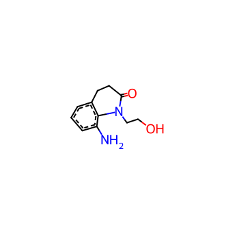 Nc1cccc2c1N(CCO)C(=O)CC2